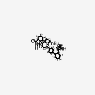 CCCCc1ncc2n1C(c1ccc(-c3ccccc3-c3nnn[nH]3)cc1)CCC2C12C=CC=CC1C(=O)NC2=O